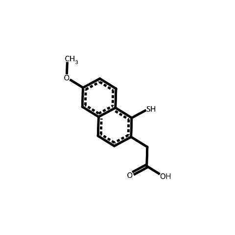 COc1ccc2c(S)c(CC(=O)O)ccc2c1